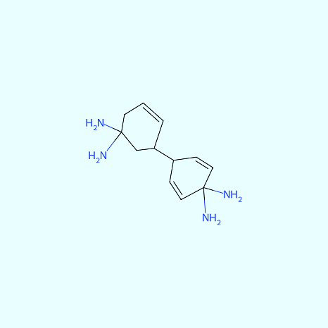 NC1(N)C=CC(C2C=CCC(N)(N)C2)C=C1